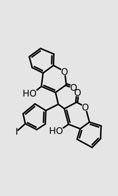 O=c1oc2ccccc2c(O)c1C(c1ccc(I)cc1)c1c(O)c2ccccc2oc1=O